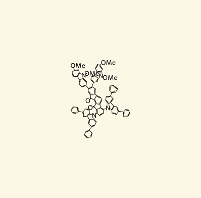 COc1ccc2c3ccc(-c4cc5c(=O)c6c(ccc7c8c(-n9c%10ccc(-c%11ccccc%11)cc%10c%10cc(-c%11ccccc%11)ccc%109)ccc(-n9c%10ccc(-c%11ccccc%11)cc%10c%10cc(-c%11ccccc%11)ccc%109)c8c(=O)c76)c5cc4-c4ccc5c6ccc(OC)cc6n(OC)c5c4)cc3n(OC)c2c1